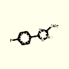 CSc1nc(-c2ccc(F)cc2)n[nH]1